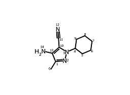 Cc1nn(C2CCCCC2)c(C#N)c1N